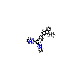 CC1(C)c2ccccc2C2=CC=C(c3ccc(-c4cc(-c5nc6ccccn6n5)cc(-c5nc6ccccn6n5)c4)cc3)CC21